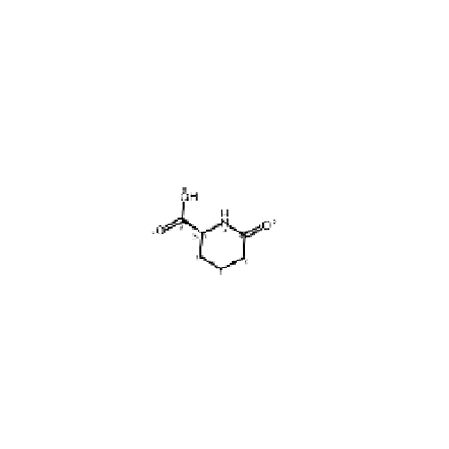 O=C1CCC[C@@H](C(=O)O)N1